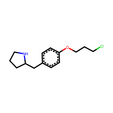 ClCCCOc1ccc(CC2CCCN2)cc1